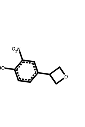 O=[N+]([O-])c1cc(C2COC2)ccc1O